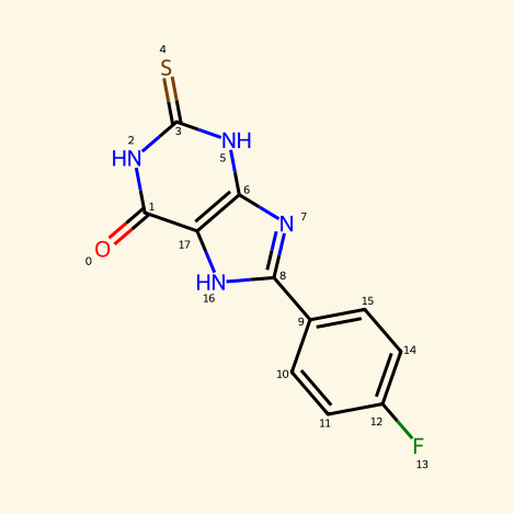 O=c1[nH]c(=S)[nH]c2nc(-c3ccc(F)cc3)[nH]c12